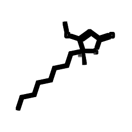 CCCCCCCC[C@@]1(C)SC(=O)C=C1OC